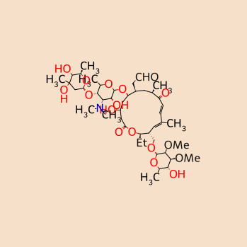 CC[C@H]1OC(=O)C[C@@H](O)C[C@@H](OC2OC(C)[C@@H](O[C@H]3CC(C)(O)C(O)[C@@H](C)O3)[C@@H](N(C)C)[C@@H]2O)[C@@H](CC=O)C[C@@H](C)C(=O)/C=C/C(C)=C/[C@@H]1CO[C@@H]1OC(C)[C@@H](O)[C@H](OC)C1OC